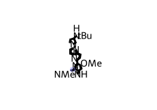 CN/C=C1/N=C(c2ccc3nc(N4CCC(NC(C)(C)C)C4)ccc3n2)C(OC)=CC1=N